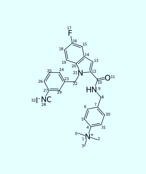 C[N+](C)(C)c1ccc(CNC(=O)c2cc3cc(F)ccc3n2Cc2cccc(C#N)c2)cc1.[I-]